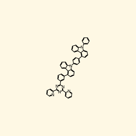 c1ccc(-n2c3ccccc3c3c(-c4ccc(-n5c6ccccc6c6c(-c7cccc(-c8nc(-c9ccccn9)nc(-c9ccccn9)n8)c7)cccc65)cc4)cccc32)cc1